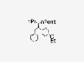 CCCCCC(CCC)C(CC1=CCCCC1)c1ccc(OCC)cc1